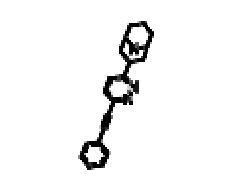 CN1C2CCCC1CC(c1ccc(C#Cc3ccccc3)nn1)C2